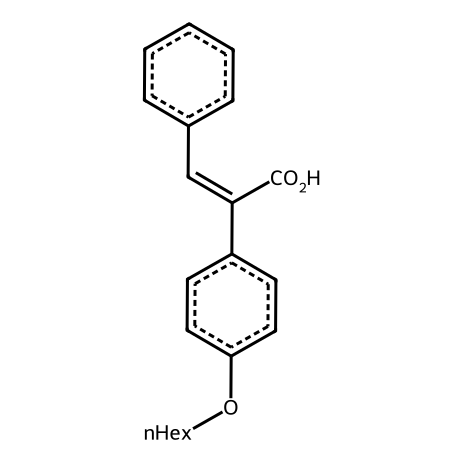 CCCCCCOc1ccc(C(=Cc2ccccc2)C(=O)O)cc1